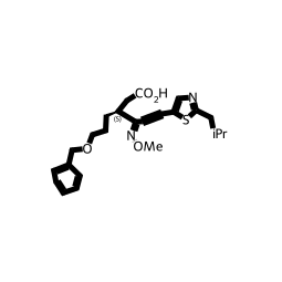 CON=C(C#Cc1cnc(CC(C)C)s1)[C@@H](CCCOCc1ccccc1)CC(=O)O